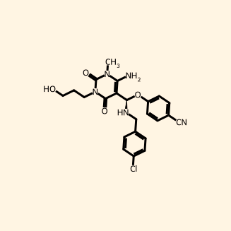 Cn1c(N)c([C@H](NCc2ccc(Cl)cc2)Oc2ccc(C#N)cc2)c(=O)n(CCCO)c1=O